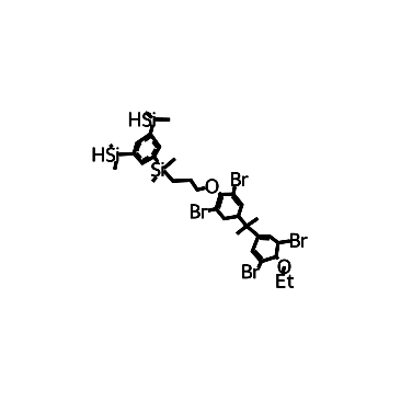 CCOC1C(Br)=CC(C(C)(C)C2C=C(Br)C(OCCC[Si](C)(C)c3cc([SiH](C)C)cc([SiH](C)C)c3)=C(Br)C2)=CC1Br